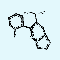 CC[C@@H](N)c1cc2nccn2nc1-c1ccccc1F